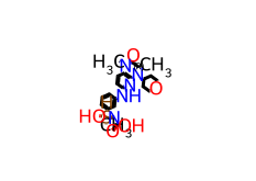 C[C@@H]1C(=O)N(C)c2ccc(Nc3cccc([SH](C)(O)=NC(=O)O)c3)nc2N1C1CCOCC1